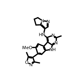 COc1cc2c(cc1-c1c(C)noc1C)[nH]c1nc(C)nc(Nc3cnn4c3CCC4)c12